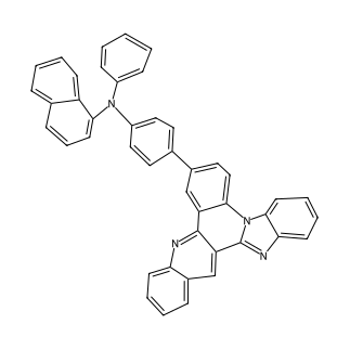 c1ccc(N(c2ccc(-c3ccc4c(c3)c3nc5ccccc5cc3c3nc5ccccc5n43)cc2)c2cccc3ccccc23)cc1